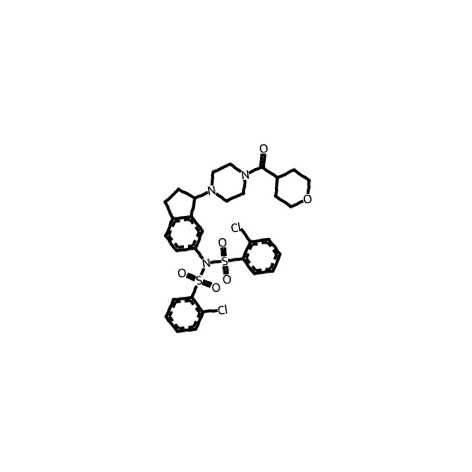 O=C(C1CCOCC1)N1CCN(C2CCc3ccc(N(S(=O)(=O)c4ccccc4Cl)S(=O)(=O)c4ccccc4Cl)cc32)CC1